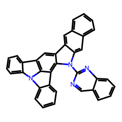 c1ccc2cc3c(cc2c1)c1cc2c4ccccc4n4c5ccccc5c(c1n3-c1ncc3ccccc3n1)c24